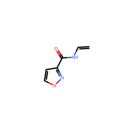 C=CNC(=O)c1ccon1